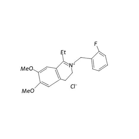 CCC1=[N+](Cc2ccccc2F)CCc2cc(OC)c(OC)cc21.[Cl-]